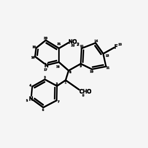 O=CC(c1ccncc1)C(c1ccc(F)cc1)c1ncccc1[N+](=O)[O-]